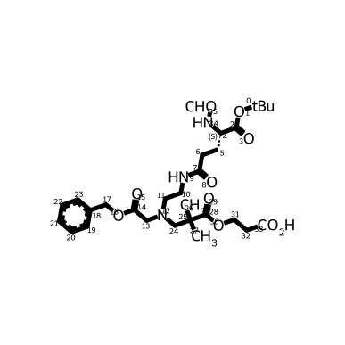 CC(C)(C)OC(=O)[C@H](CCC(=O)NCCN(CC(=O)OCc1ccccc1)CC(C)(C)C(=O)OCCC(=O)O)NC=O